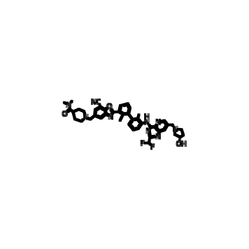 Cc1c(Nc2nc(C(F)F)nc3cc(CN4CC[C@@H](O)C4)cnc23)cccc1-c1cccc(-c2nc3cc(CN4CCC(C(=O)N(C)C)CC4)cc(C#N)c3o2)c1C